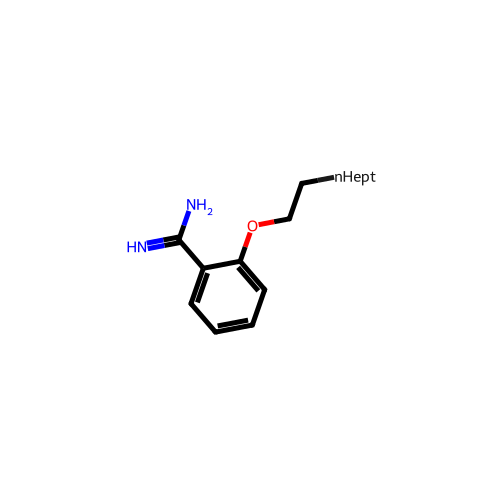 CCCCCCCCCOc1ccccc1C(=N)N